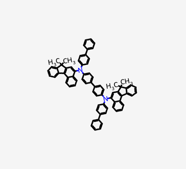 CC1(C)c2ccccc2-c2c1cc(N(c1ccc(-c3ccccc3)cc1)c1ccc(-c3ccc(N(c4ccc(-c5ccccc5)cc4)c4cc5c(c6ccccc46)-c4ccccc4C5(C)C)cc3)cc1)c1ccccc21